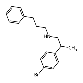 CC(CNCCCc1ccccc1)c1ccc(Br)cc1